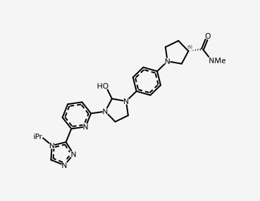 CNC(=O)[C@H]1CCN(c2ccc(N3CCN(c4cccc(-c5nncn5C(C)C)n4)C3O)cc2)C1